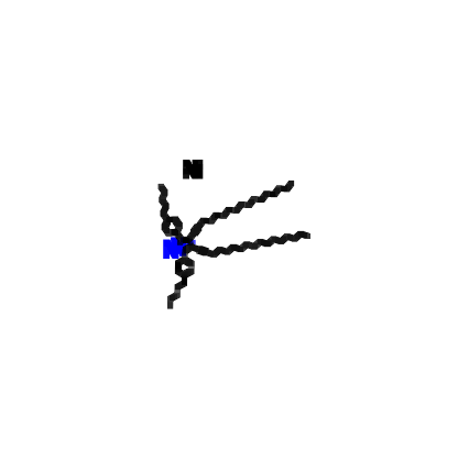 CCCCCCCCCCCCCCCC#CC1=C(c2ccc(CCCCC)cc2)[N+](=[N-])C(c2ccc(CCCCC)cc2)=C1C#CCCCCCCCCCCCCCCC.[CH3][Ni][CH3]